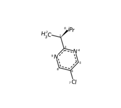 CC(C)[C@H](C)c1ncc(Cl)cn1